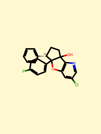 OC12CC[C@@H](c3ccccc3)C1(c1ccc(F)cc1)Oc1cc(Cl)cnc12